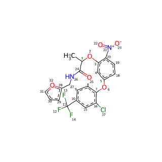 CC(Oc1cc(Oc2ccc(C(F)(F)F)cc2Cl)ccc1[N+](=O)[O-])C(=O)NCc1ccco1